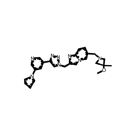 COC1(C)CN(Cc2ccc3nc(Cn4cc(-c5cncc(-n6cccc6)c5)nn4)cn3c2)C1